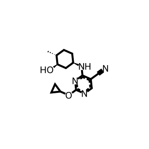 C[C@@H]1CC[C@@H](Nc2nc(OC3CC3)ncc2C#N)C[C@H]1O